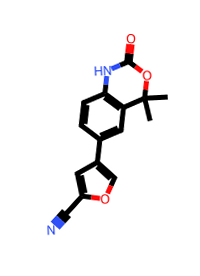 CC1(C)OC(=O)Nc2ccc(-c3coc(C#N)c3)cc21